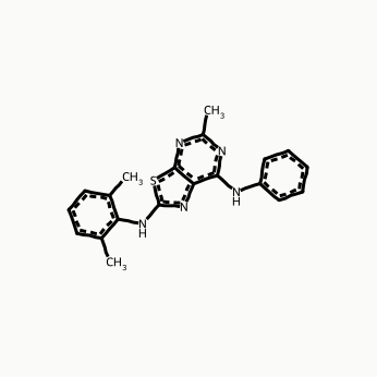 Cc1nc(Nc2ccccc2)c2nc(Nc3c(C)cccc3C)sc2n1